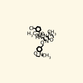 Cc1c(Cl)cccc1S(=O)(=O)Nc1nc2c(nc1OCc1ccc3c(c1)N(C)CCO3)OCCN2C